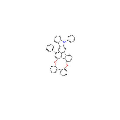 c1ccc(-c2ccc3c(c2)Oc2ccccc2-c2ccccc2Oc2cccc(-c4ccc5c6ccccc6n(-c6ccccc6)c5c4)c2-3)cc1